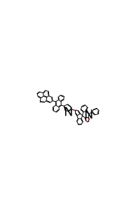 c1ccc(N2c3ccccc3C3(c4ccccc4-c4cc(-c5ccc(-c6c7ccccc7c(-c7cc8ccc9cccc%10ccc(c7)c8c9%10)c7ccccc67)cn5)ccc43)c3ccccc32)cc1